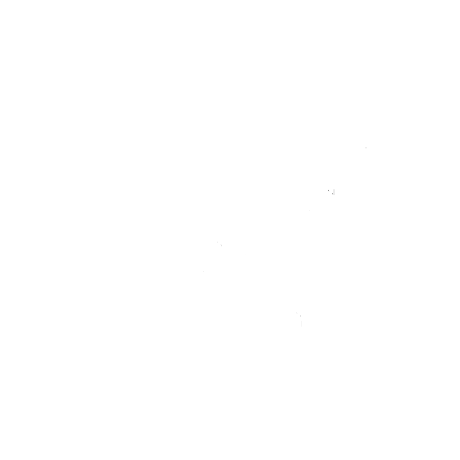 CC(O)CNC(=O)c1cccc(NS(=O)(=O)CC2CN(C(c3ccc(Cl)cc3)c3ccc(Cl)cc3)C2)c1